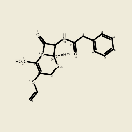 C=CSC1=C(C(=O)O)N2C(=O)C(NC(=O)Cc3ccccc3)[C@H]2SC1